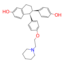 Oc1ccc([C@@H]2CCc3cc(O)ccc3[C@@H]2c2ccc(OCCN3CCCCC3)cc2)cc1